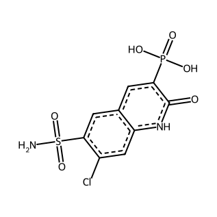 NS(=O)(=O)c1cc2cc(P(=O)(O)O)c(=O)[nH]c2cc1Cl